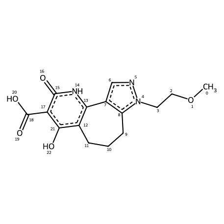 COCCn1ncc2c1CCCc1c-2[nH]c(=O)c(C(=O)O)c1O